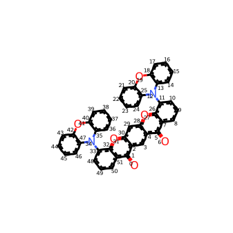 O=c1c2cc3c(=O)c4cccc(N5c6ccccc6Oc6ccccc65)c4oc3cc2oc2c(N3c4ccccc4Oc4ccccc43)cccc12